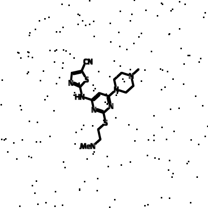 CNCCSc1nc(Nc2ncc(C#N)s2)cc(N2CCN(C)CC2)n1